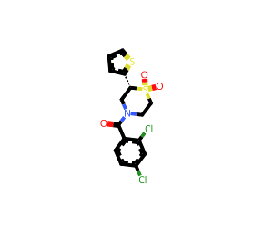 O=C(c1ccc(Cl)cc1Cl)N1CCS(=O)(=O)[C@@H](c2cccs2)C1